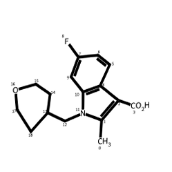 Cc1c(C(=O)O)c2ccc(F)cc2n1CC1CCOCC1